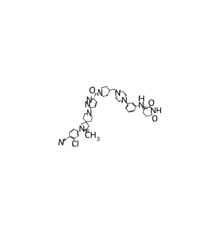 C[C@@H]1CC2(CCN(c3ccc(C(=O)N4CCC(CN5CCN(c6cccc(N[C@@H]7CCC(=O)NC7=O)c6)CC5)CC4)nn3)CC2)CN1c1ccc(C#N)c(Cl)c1